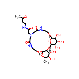 CC(=O)CCNC(=O)CN1CC(=O)NCCO[C@@H]2O[C@@H](O[C@@H]3[C@H](OCCNC(=O)C1)O[C@@H](C)[C@@H](O)[C@H]3O)[C@@H](O)[C@@H](O)[C@@H]2O